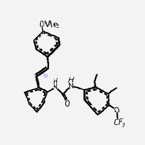 COc1ccc(/C=C/c2ccccc2NC(=O)Nc2ccc(OC(F)(F)F)c(C)c2C)cc1